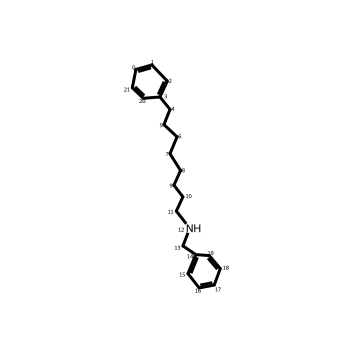 c1ccc(CCCCCCCCNCc2ccccc2)cc1